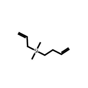 C=CCC[Si](C)(C)CC=C